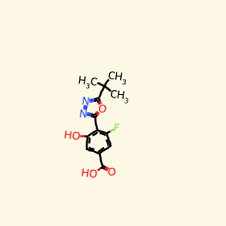 CC(C)(C)c1nnc(-c2c(O)cc(C(=O)O)cc2F)o1